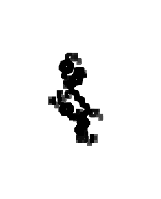 Cc1ccc(Cn2nc(C(CCCCCC(c3nn(Cc4ccc(C)cc4)c4c3Cc3sc(S(=O)(=O)O)cc3-4)C(F)(F)F)C(F)(F)F)c3c2-c2ccsc2C3)cc1